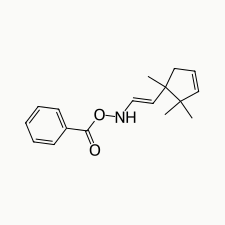 CC1(C)C=CCC1(C)C=CNOC(=O)c1ccccc1